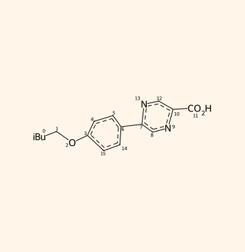 CCC(C)COc1ccc(-c2cnc(C(=O)O)cn2)cc1